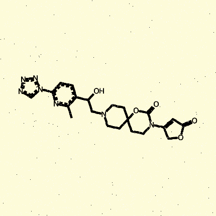 Cc1nc(-n2cnnn2)ccc1C(O)CN1CCC2(CC1)CCN(C1=CC(=O)OC1)C(=O)O2